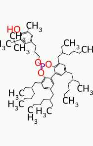 CCCCC(CC)Cc1cc(CC(CC)CCCC)c2op(OCCCc3cc(C)c(O)c(C(C)(C)C)c3)oc3c(CC(CC)CCCC)cc(CC(CC)CCCC)cc3c2c1